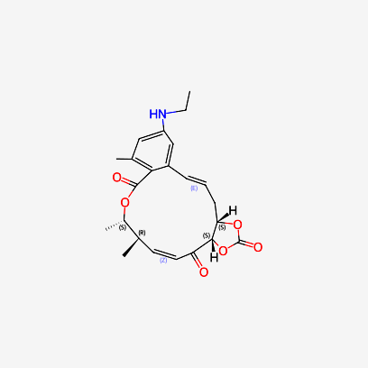 CCNc1cc(C)c2c(c1)/C=C/C[C@@H]1OC(=O)O[C@@H]1C(=O)/C=C\[C@@H](C)[C@H](C)OC2=O